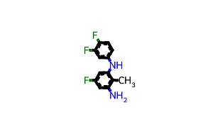 Cc1c(N)cc(F)cc1Nc1ccc(F)c(F)c1